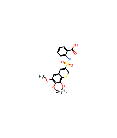 COc1cc2c(c(OC)c1OC)SCC(S(=O)(=O)Nc1ccccc1C(=O)O)=C2